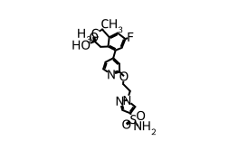 CC(C)c1cc(F)cc(-c2ccnc(OCCn3cc(S(N)(=O)=O)cn3)c2)c1CC(=O)O